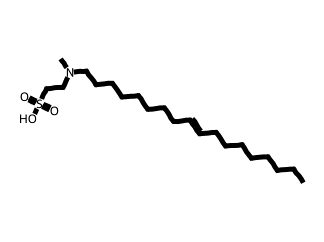 CCCCCCCC/C=C/CCCCCCCCN(C)CCS(=O)(=O)O